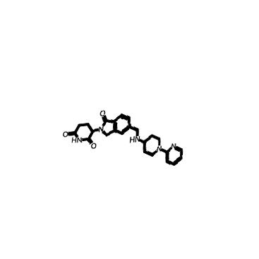 O=C1CCC(N2Cc3cc(CNC4CCN(c5ccccn5)CC4)ccc3C2=O)C(=O)N1